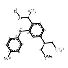 CCO[C@@H](c1ccc([C@H](COC)CC(=O)O)cc1Nc1ccc(C#N)cc1)C(F)(F)F